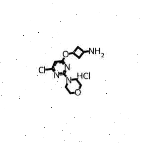 Cl.NC1CC(Oc2cc(Cl)nc(N3CCOCC3)n2)C1